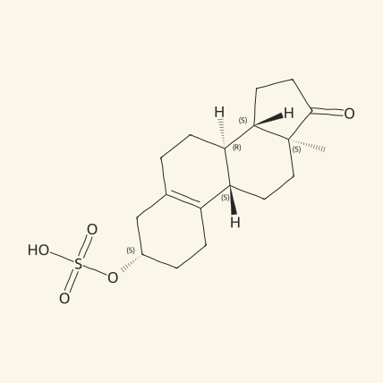 C[C@]12CC[C@@H]3C4=C(CC[C@H]3[C@@H]1CCC2=O)C[C@@H](OS(=O)(=O)O)CC4